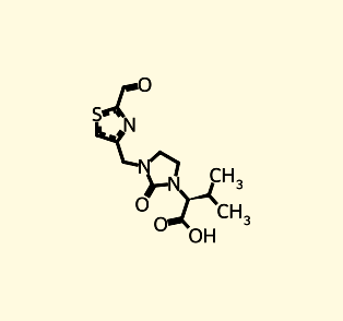 CC(C)[C@@H](C(=O)O)N1CCN(Cc2csc(C=O)n2)C1=O